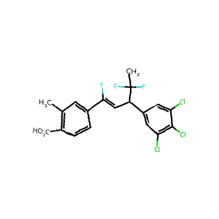 Cc1cc(/C(F)=C/C(c2cc(Cl)c(Cl)c(Cl)c2)C(C)(F)F)ccc1C(=O)O